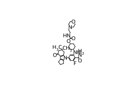 CC1(C)CC(=O)c2c3c(n(-c4cc(F)c(C(N)=O)c(N[C@H]5CC[C@H](OC(=O)NCCN6CCOCC6)CC5)c4)c2C1)CCC3